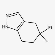 CCC1(C)CCc2[nH]ncc2C1